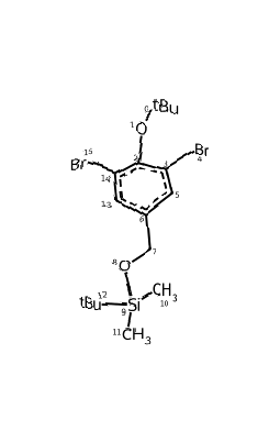 CC(C)(C)Oc1c(Br)cc(CO[Si](C)(C)C(C)(C)C)cc1Br